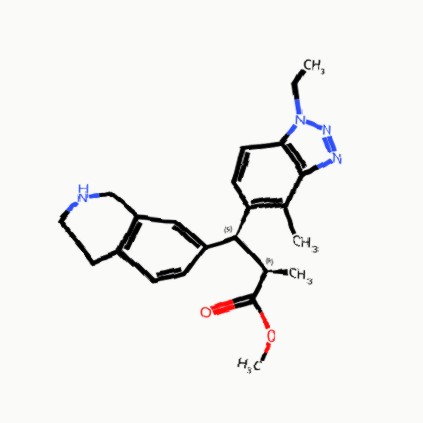 CCn1nnc2c(C)c([C@H](c3ccc4c(c3)CNCC4)[C@@H](C)C(=O)OC)ccc21